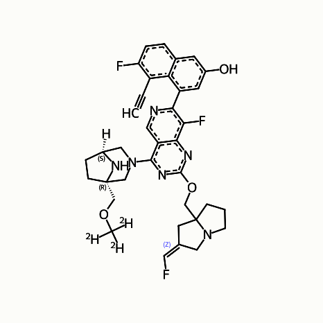 [2H]C([2H])([2H])OC[C@@]12CC[C@@H](CN(c3nc(OCC45CCCN4C/C(=C\F)C5)nc4c(F)c(-c5cc(O)cc6ccc(F)c(C#C)c56)ncc34)C1)N2